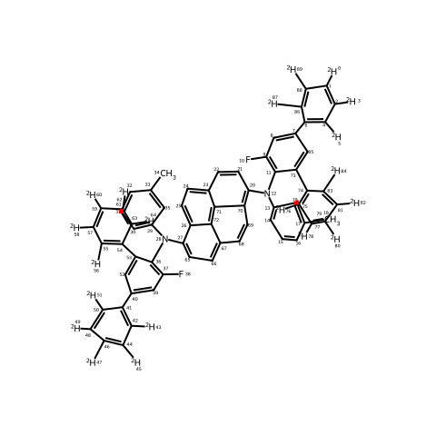 [2H]c1c([2H])c([2H])c(-c2cc(F)c(N(c3cccc(C)c3)c3ccc4ccc5c(N(c6cccc(C)c6)c6c(F)cc(-c7c([2H])c([2H])c([2H])c([2H])c7[2H])cc6-c6c([2H])c([2H])c([2H])c([2H])c6[2H])ccc6ccc3c4c65)c(-c3c([2H])c([2H])c([2H])c([2H])c3[2H])c2)c([2H])c1[2H]